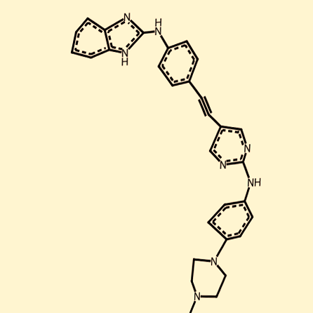 CN1CCN(c2ccc(Nc3ncc(C#Cc4ccc(Nc5nc6ccccc6[nH]5)cc4)cn3)cc2)CC1